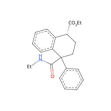 CCNC(=O)C1(c2ccccc2)CC[C@@H](C(=O)OCC)c2ccccc21